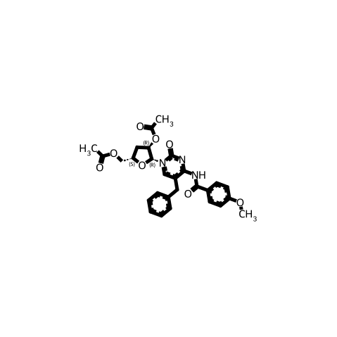 COc1ccc(C(=O)Nc2nc(=O)n([C@@H]3O[C@H](COC(C)=O)C[C@H]3OC(C)=O)cc2Cc2ccccc2)cc1